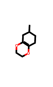 CC1CCC2=C(C1)OCCO2